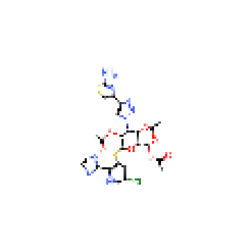 CC(=O)OCC1OC(Sc2cc(Cl)cnc2-c2ncc[nH]2)C(OC(C)=O)C(n2cc(-c3csc(N)n3)nn2)C1OC(C)=O